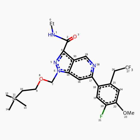 CCNC(=O)c1nn(COCC[Si](C)(C)C)c2cc(-c3cc(F)c(OC)cc3CC(F)(F)F)ncc12